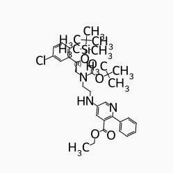 CCOC(=O)c1cc(NCCN(C[C@H](O[Si](C)(C)C(C)(C)C)c2cccc(Cl)c2)C(=O)OC(C)(C)C)cnc1-c1ccccc1